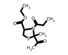 CCOC(=O)C1CSC(C)(C(C)=O)N1C(=O)CC